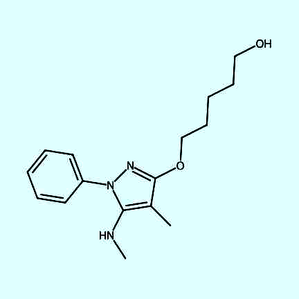 CNc1c(C)c(OCCCCCO)nn1-c1ccccc1